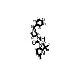 Cc1ccc2c(n1)C(C)(C)CN2C(=O)N[C@H]1CCN(Cc2ccccc2)C1